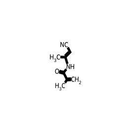 C=C(C)C(=O)N/C(C)=C/C#N